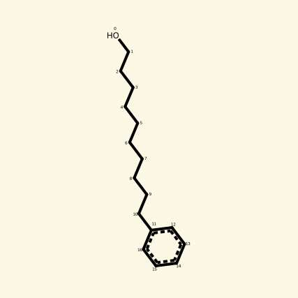 OCCCCCCCCCCc1ccccc1